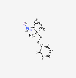 CCC(CC)(CCc1ccccc1)/C(C)=N/I